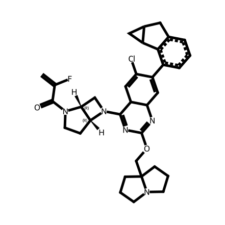 C=C(F)C(=O)N1CC[C@@H]2[C@H]1CN2C1=NC(OCC23CCCN2CCC3)=NC2C=C(c3cccc4c3C3CC3C4)C(Cl)=CC12